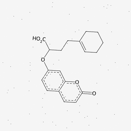 O=C(O)C(CCC1=CCCCC1)Oc1ccc2ccc(=O)oc2c1